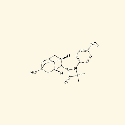 CC1(C)C(=O)N(C2[C@H]3CC4C[C@H]2CC(O)(C4)C3)N1c1ccc([N+](=O)[O-])cc1